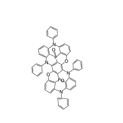 O=P12c3c4cccc3N(c3ccccc3)c3cccc(c31)N(c1ccccc1)c1c3c5c(c(c12)O4)N(c1ccccc1)c1cccc2c1P5(=O)c1c(cccc1N2c1ccccc1)O3